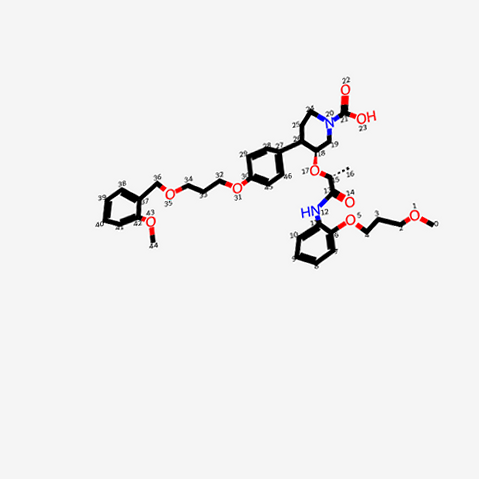 COCCCOc1ccccc1NC(=O)[C@@H](C)O[C@@H]1CN(C(=O)O)CCC1c1ccc(OCCCOCc2ccccc2OC)cc1